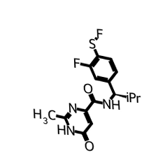 Cc1nc(C(=O)N[C@@H](c2ccc(SF)c(F)c2)C(C)C)cc(=O)[nH]1